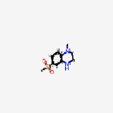 CN1CCNc2cc(S(C)(=O)=O)ccc21